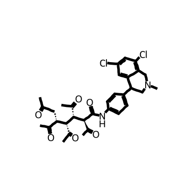 CC(=O)C[C@@H](C(C)=O)[C@@H](C(C)=O)[C@H](C(C)=O)[C@H](C(C)=O)C(=O)Nc1ccc(C2CN(C)Cc3c(Cl)cc(Cl)cc32)cc1